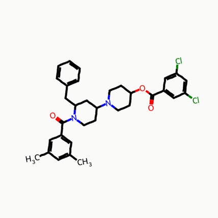 Cc1cc(C)cc(C(=O)N2CCC(N3CCC(OC(=O)c4cc(Cl)cc(Cl)c4)CC3)CC2Cc2ccccc2)c1